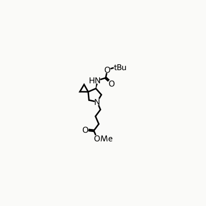 COC(=O)CCCN1C[C@H](NC(=O)OC(C)(C)C)C2(CC2)C1